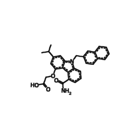 CC(C)c1cc(OCC(=O)O)c2c3c(C(N)=O)cccc3n(Cc3ccc4ccccc4c3)c2c1